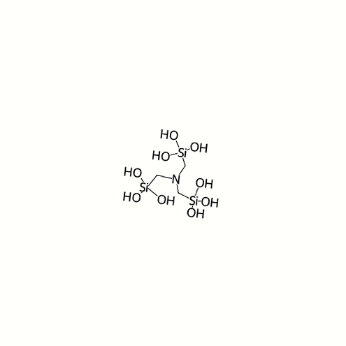 O[Si](O)(O)CN(C[Si](O)(O)O)C[Si](O)(O)O